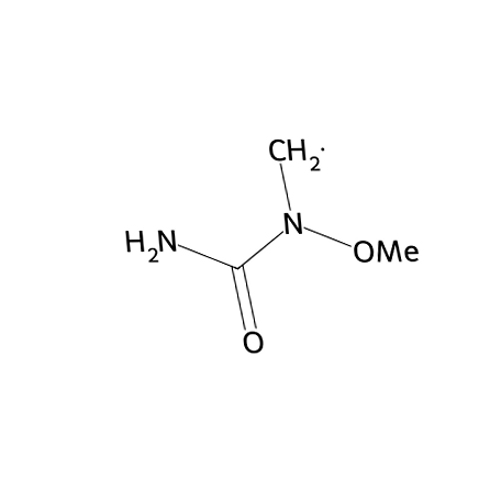 [CH2]N(OC)C(N)=O